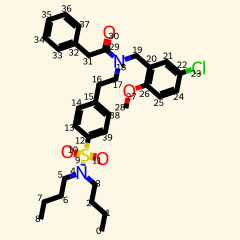 CCCCN(CCCC)S(=O)(=O)c1ccc(CCN(Cc2cc(Cl)ccc2OC)C(=O)Cc2ccccc2)cc1